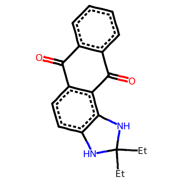 CCC1(CC)Nc2ccc3c(c2N1)C(=O)c1ccccc1C3=O